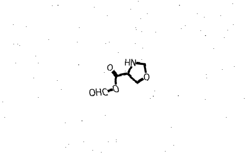 O=COC(=O)C1COCN1